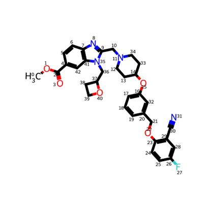 COC(=O)c1ccc2nc(CN3CCC(Oc4cccc(COc5ccc(F)cc5C#N)c4)CC3)n(CC3CCO3)c2c1